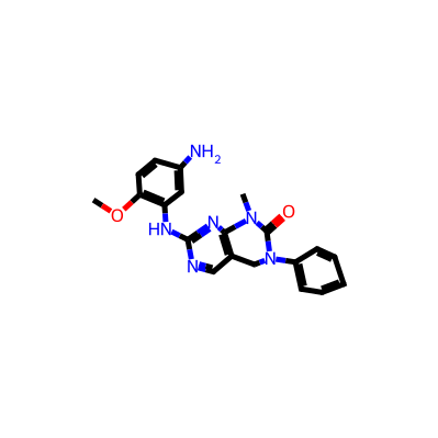 COc1ccc(N)cc1Nc1ncc2c(n1)N(C)C(=O)N(c1ccccc1)C2